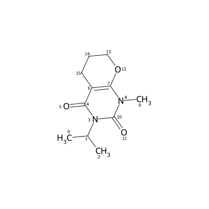 CC(C)n1c(=O)c2c(n(C)c1=O)OCCC2